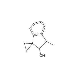 CC1c2ccccc2C2(CC2)C1O